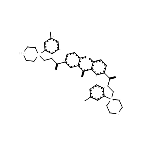 O=C(CC[N+]1(c2cccc(Cl)c2)CCNCC1)c1ccc2oc3ccc(C(=O)CC[N+]4(c5cccc(Cl)c5)CCNCC4)cc3c(=O)c2c1